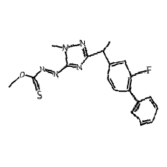 COC(=S)N=Nc1nc(C(C)c2ccc(-c3ccccc3)c(F)c2)nn1C